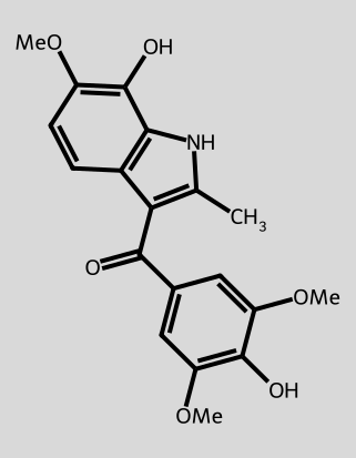 COc1cc(C(=O)c2c(C)[nH]c3c(O)c(OC)ccc23)cc(OC)c1O